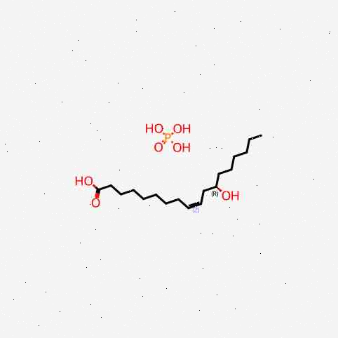 CCCCCC[C@@H](O)C/C=C\CCCCCCCC(=O)O.O=P(O)(O)O